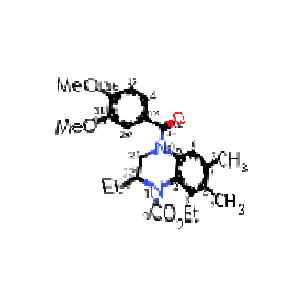 CCOC(=O)N1c2cc(C)c(C)cc2N(C(=O)c2ccc(OC)c(OC)c2)CC1CC